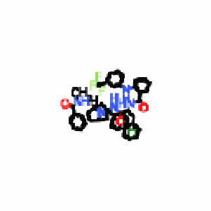 CNC(=O)c1ccccc1.O=C(NC(Cc1ccccc1)C(=O)NC1CC2CC[C@@H](C1)N2Cc1ccc(Cl)cc1)c1ccccc1Nc1cccc(C(F)(F)F)c1